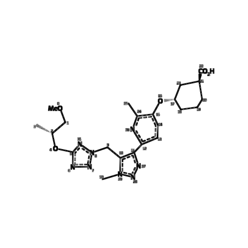 COC[C@@H](C)Oc1nnn(Cc2c(-c3ccc(O[C@H]4CCC[C@H](C(=O)O)C4)c(C)n3)nnn2C)n1